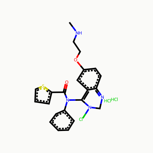 CNCCOc1ccc2c(c1)=C(N(C(=O)c1cccs1)c1ccccc1)N(Cl)CN=2.Cl.Cl